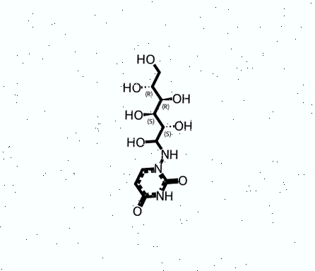 O=c1ccn(NC(O)[C@@H](O)[C@@H](O)[C@H](O)[C@H](O)CO)c(=O)[nH]1